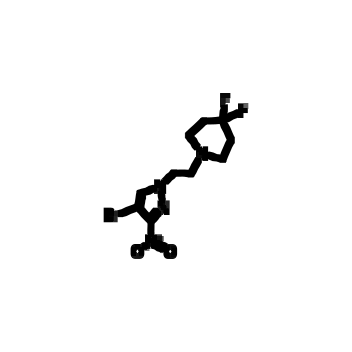 O=[N+]([O-])c1nn(CCN2CCC(F)(F)CC2)cc1Br